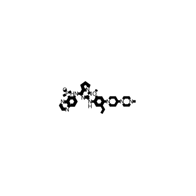 CCc1cc(Nc2nc(Nc3ccc4nccnc4c3P(C)(C)=O)c3cccn3n2)c(OC)cc1N1CCC(N2CCN(C)CC2)CC1